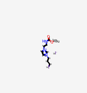 CC(C)(C)OC(=O)NCC[n+]1ccn(CCCI)c1.[I-]